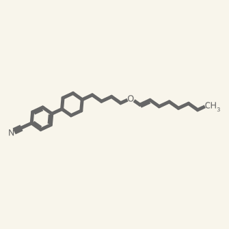 CCCCCC/C=C/OCCCCC1CCC(c2ccc(C#N)cc2)CC1